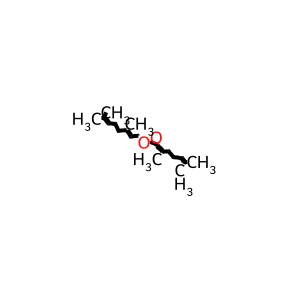 CC(C)=CCC/C(C)=C1\OC1OC/C=C(\C)CCC=C(C)C